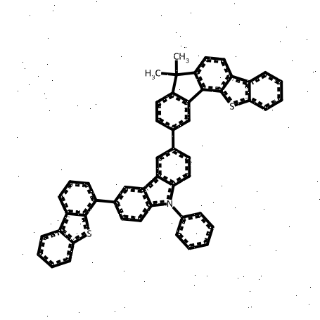 CC1(C)c2ccc(-c3ccc4c(c3)c3cc(-c5cccc6c5sc5ccccc56)ccc3n4-c3ccccc3)cc2-c2c1ccc1c2sc2ccccc21